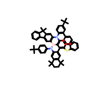 CC(C)(C)c1ccc(N2B3c4cc5c(cc4N(c4ccc(C(C)(C)C)cc4-c4ccccc4)c4cc6c(sc7ccccc76)c(c43)-c3cc4c(cc32)C(C)(C)CCC4(C)C)C(C)(C)c2ccccc2-5)cc1